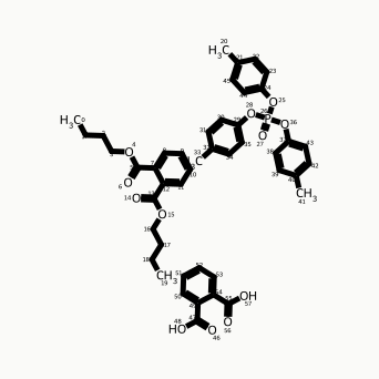 CCCCOC(=O)c1ccccc1C(=O)OCCCC.Cc1ccc(OP(=O)(Oc2ccc(C)cc2)Oc2ccc(C)cc2)cc1.O=C(O)c1ccccc1C(=O)O